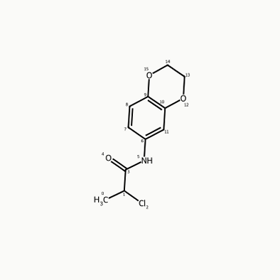 CC(Cl)C(=O)Nc1ccc2c(c1)OCCO2